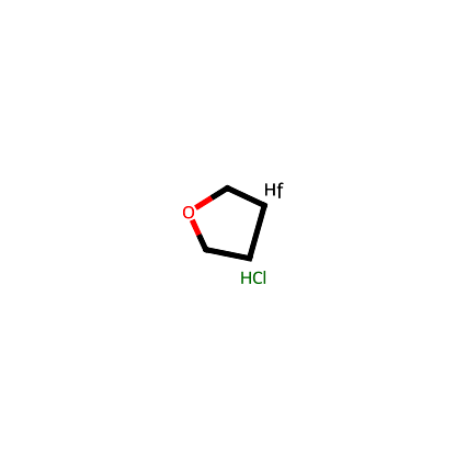 C1CCOC1.Cl.[Hf]